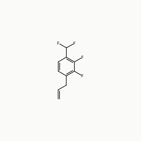 C=CCc1ccc([C](F)F)c(F)c1F